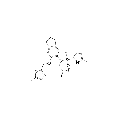 Cc1csc(S(=O)(=O)N(C[C@H](C)F)c2cc3c(cc2OCc2ncc(C)s2)CCC3)n1